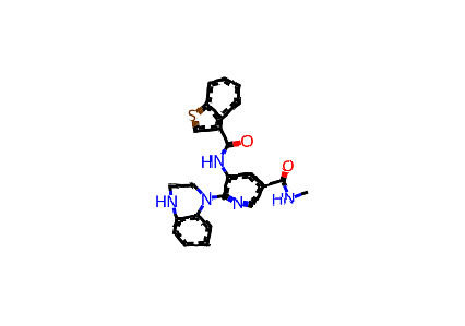 CNC(=O)c1cnc(N2CCNc3ccccc32)c(NC(=O)c2csc3ccccc23)c1